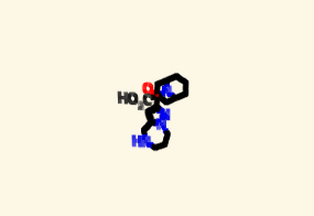 O=C(O)C1CC2CCCC(C1)N2C(=O)c1cc2n(n1)CCCNC2